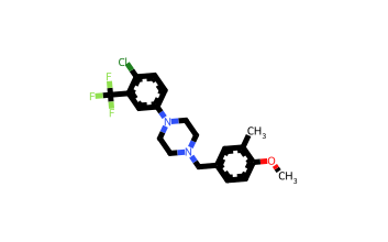 COc1ccc(CN2CCN(c3ccc(Cl)c(C(F)(F)F)c3)CC2)cc1C